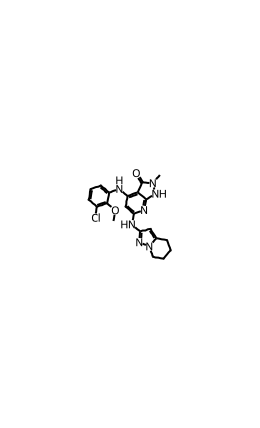 COc1c(Cl)cccc1Nc1cc(Nc2cc3n(n2)CCCC3)nc2[nH]n(C)c(=O)c12